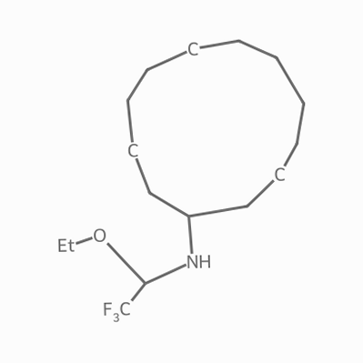 CCOC(NC1CCCCCCCCCCC1)C(F)(F)F